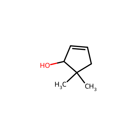 CC1(C)CC=CC1O